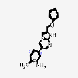 C=C(F)/C=C\C(=C/CN)C1=CN2C=C(COc3ccccc3)NC2N=C1